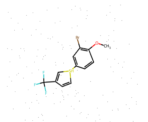 COc1ccc([SH]2C=CC(C(F)(F)F)=C2)cc1Br